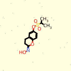 CC(C)S(=O)(=O)Oc1ccc2c(c1)CCC(=NO)O2